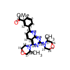 COC(=O)c1cccc(-c2ccc3c(N4CCOC[C@@H]4C)nc(N4CCOC[C@@H]4C)nc3n2)c1